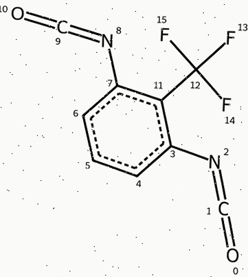 O=C=Nc1cccc(N=C=O)c1C(F)(F)F